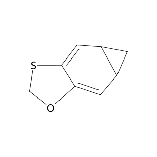 C1=C2OCSC2=CC2CC12